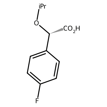 CC(C)O[C@H](C(=O)O)c1ccc(F)cc1